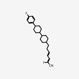 N#CC(F)=CC=CCCC1CCC(C2CCC(c3ccc(F)cc3)CC2)CC1